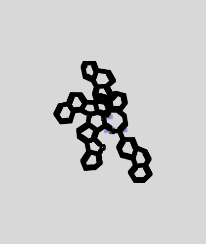 C1=C(c2ccc3c(ccc4ccccc43)c2)/N=C(c2c(-n3c4cc5ccccc5cc4c4ccc5ccccc5c43)ccc3c2oc2ccccc23)\N=C(\c2ccc3c(ccc4ccccc43)c2)CC\1